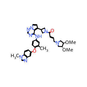 CO[C@@H]1CN(C/C=C/C(=O)N2CC(c3ccn4ncnc(Nc5ccc(Oc6ccc7c(c6)ncn7C)c(C)c5)c34)C2)C[C@H]1OC